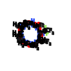 CCO[C@@H]1C[C@H]2C(=O)NC3(CCCC3)C(=O)N(C)[C@@H](C3CCCC3)C(=O)N(C)[C@H](C(=O)N(C)C)CC(=O)N(C)[C@@H](C)C(=O)N[C@@H]([C@@H](C)CC)C(=O)N(C)CC(=O)N(C)[C@H]3C/C=C\CCN(C3=O)[C@@H](Cc3ccc(C(F)(F)F)cc3)C(=O)N(C)CC(=O)N[C@@H](CCc3cc(F)c(C(F)(F)F)c(F)c3)C(=O)N2C1